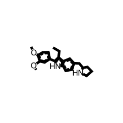 CCc1c(-c2ccc(OC)c(OC)c2)[nH]c2ccc(CC3CCCN3)cc12